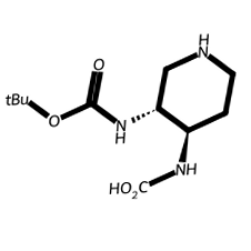 CC(C)(C)OC(=O)N[C@@H]1CNCC[C@H]1NC(=O)O